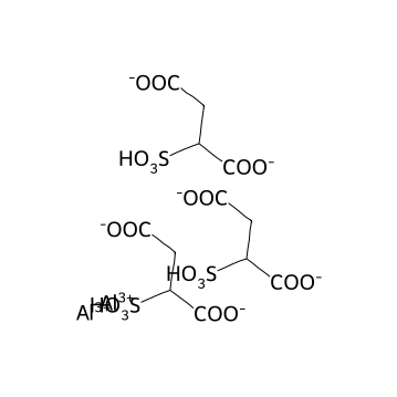 O=C([O-])CC(C(=O)[O-])S(=O)(=O)O.O=C([O-])CC(C(=O)[O-])S(=O)(=O)O.O=C([O-])CC(C(=O)[O-])S(=O)(=O)O.[Al+3].[Al+3]